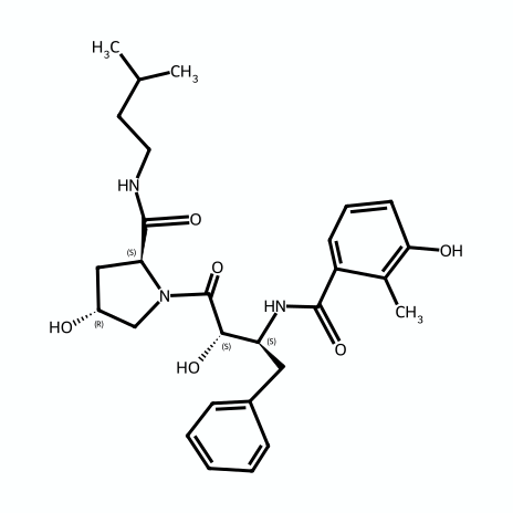 Cc1c(O)cccc1C(=O)N[C@@H](Cc1ccccc1)[C@H](O)C(=O)N1C[C@H](O)C[C@H]1C(=O)NCCC(C)C